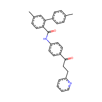 Cc1ccc(-c2cc(C)ccc2C(=O)Nc2ccc(C(=O)CCc3ccccn3)cc2)cc1